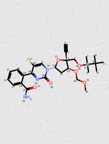 C#C[C@]1(CO[Si](C)(C)C(C)(C)C)O[C@@H](n2cc(F)c(-c3ccccc3C(N)=O)nc2=O)C[C@@H]1OCOC